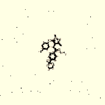 Cc1nn(C)c(Oc2ccc(F)cc2)c1C=C(ON)c1ccc(C2(C)OCCO2)cc1